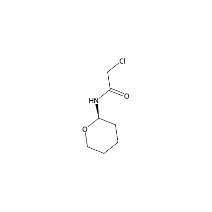 O=C(CCl)N[C@H]1CCCCO1